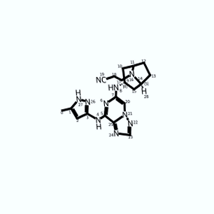 Cc1cc(Nc2nc(N[C@@H]3CC4CC[C@@H](C3)N4CCC#N)cn3ncnc23)n[nH]1